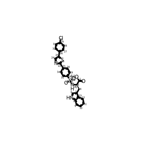 O=C(O)[C@@H](Cc1c[nH]c2ccccc12)NS(=O)(=O)c1ccc(-c2ncc(-c3ccc(Cl)cc3)s2)cc1